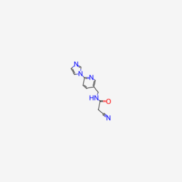 N#CCC(=O)NCc1ccc(-n2ccnc2)nc1